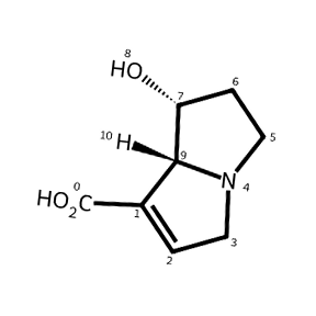 O=C(O)C1=CCN2CC[C@@H](O)[C@@H]12